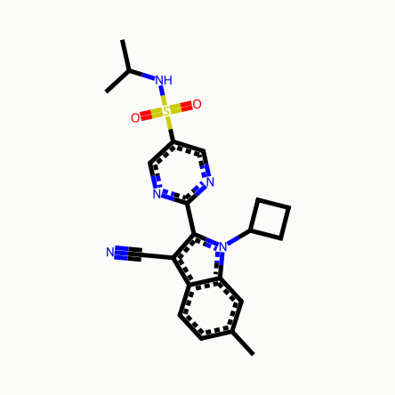 Cc1ccc2c(C#N)c(-c3ncc(S(=O)(=O)NC(C)C)cn3)n(C3CCC3)c2c1